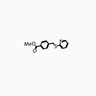 COC(=O)c1ccc(CSc2ccccn2)cc1